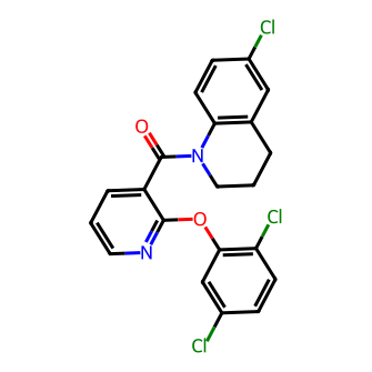 O=C(c1cccnc1Oc1cc(Cl)ccc1Cl)N1CCCc2cc(Cl)ccc21